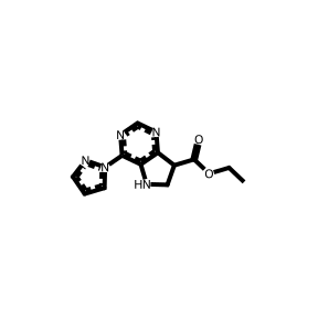 CCOC(=O)C1CNc2c1ncnc2-n1cccn1